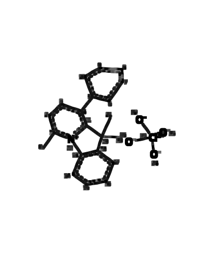 Cc1ccc(-c2ccccc2)c2[n+]1-c1ccccc1C2(C)C.[O-][Cl+3]([O-])([O-])[O-]